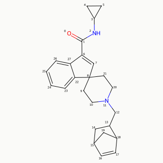 O=C(NC1CC1)C1=CC2(CCN(CC3CC4C=CC3C4)CC2)c2ccccc21